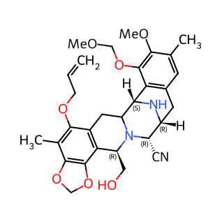 C=CCOc1c(C)c2c(c3c1CC1[C@H]4N[C@H](Cc5cc(C)c(OC)c(OCOC)c54)[C@H](C#N)N1[C@H]3CO)OCO2